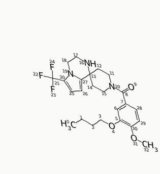 CCCCOc1cc(C(=O)N2CCC3(CC2)NCCn2c(C(F)(F)F)ccc23)ccc1OC